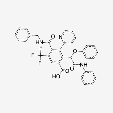 O=C(O)c1cc(C(F)(F)F)c(C(=O)NCc2ccccc2)c(-c2ccccn2)c1C(Oc1ccccc1)C(=O)Nc1ccccc1